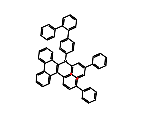 c1ccc(-c2ccc(-c3c(N(c4ccc(-c5ccccc5-c5ccccc5)cc4)c4cccc(-c5ccccc5)c4)c4ccccc4c4ccccc34)cc2)cc1